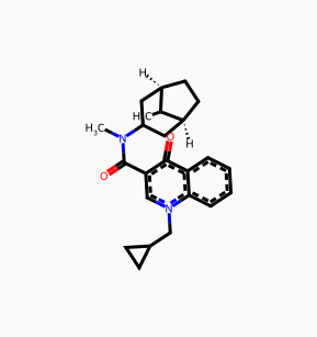 CC1[C@@H]2CC[C@H]1CC(N(C)C(=O)c1cn(CC3CC3)c3ccccc3c1=O)C2